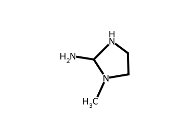 CN1CCNC1N